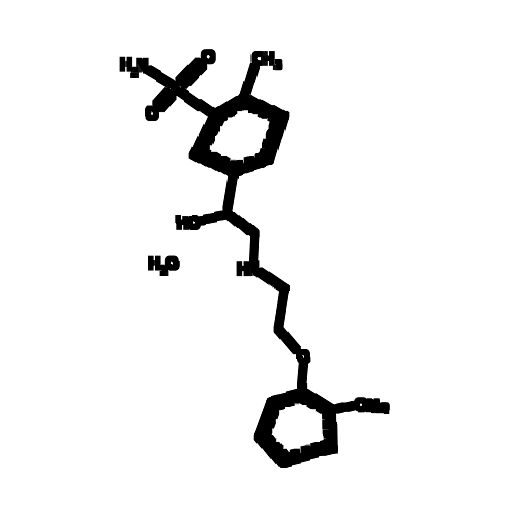 COc1ccccc1OCCNCC(O)c1ccc(C)c(S(N)(=O)=O)c1.O